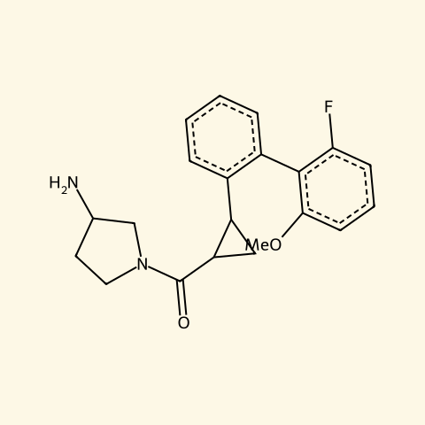 COc1cccc(F)c1-c1ccccc1C1CC1C(=O)N1CCC(N)C1